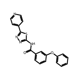 O=C(Nc1nnc(-c2ccncc2)s1)c1cccc(Oc2ccccc2)c1